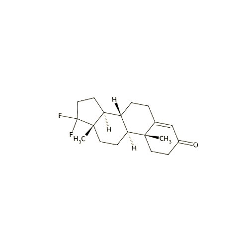 C[C@]12CCC(=O)C=C1CC[C@@H]1[C@@H]2CC[C@@]2(C)[C@H]1CCC2(F)F